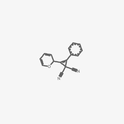 N#CC1(C#N)C(c2ccccc2)=C1C1C=CC=CO1